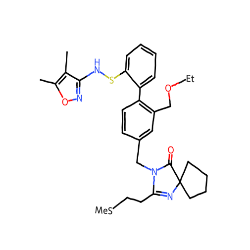 CCOCc1cc(CN2C(=O)C3(CCCC3)N=C2CCSC)ccc1-c1ccccc1SNc1noc(C)c1C